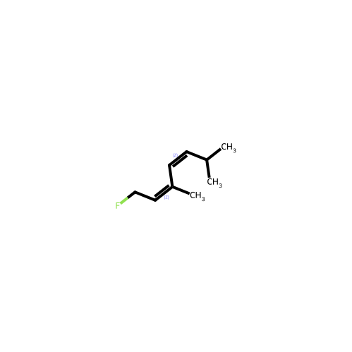 CC(/C=C\C(C)C)=C/CF